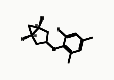 Cc1cc(C)c(OC2C[C@@H]3C[C@@H]3C2)c(F)c1